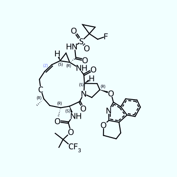 C[C@@H]1CC/C=C\[C@@H]2C[C@@]2(C(=O)NS(=O)(=O)C2(CF)CC2)NC(=O)[C@@H]2C[C@@H](Oc3nc4c(c5ccccc35)CCCO4)CN2C(=O)[C@@H](NC(=O)OC(C)(C)C(F)(F)F)[C@H](C)C1